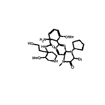 CCC1C(=O)N(C)c2cnc(C3C(OC)=CC=CC3(N)C(=O)NC3(CCO)CCNCC3OC)nc2N1C1CCCC1